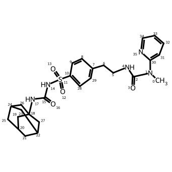 CN(C(=O)NCCc1ccc(S(=O)(=O)NC(=O)NC23CC4CC(CC(C4)C2)C3)cc1)c1ccccn1